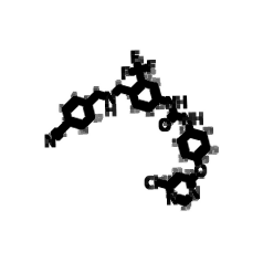 N#Cc1ccc(CNCc2ccc(NC(=O)Nc3ccc(Oc4cc(Cl)ncn4)cc3)cc2C(F)(F)F)cc1